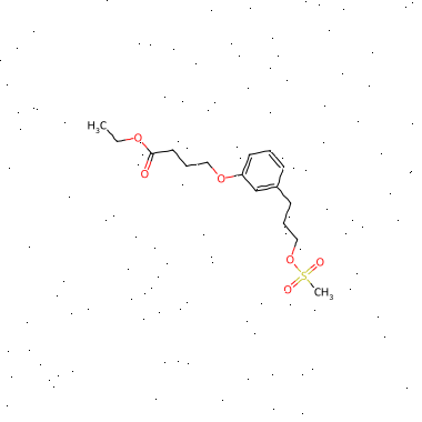 CCOC(=O)CCCOc1cccc(CCCOS(C)(=O)=O)c1